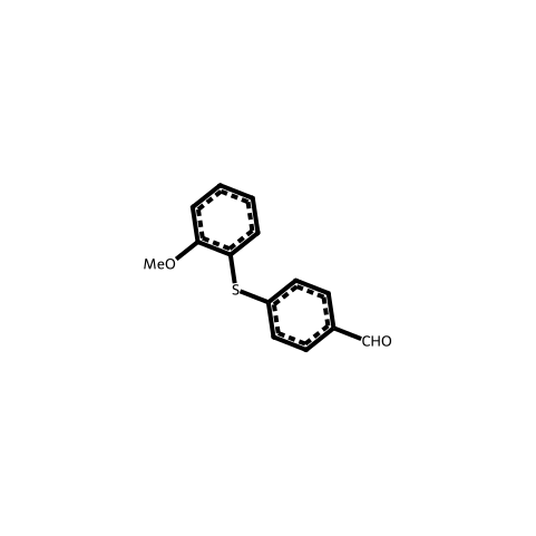 COc1ccccc1Sc1ccc(C=O)cc1